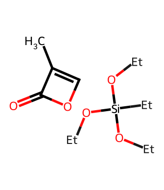 CC1=COC1=O.CCO[Si](CC)(OCC)OCC